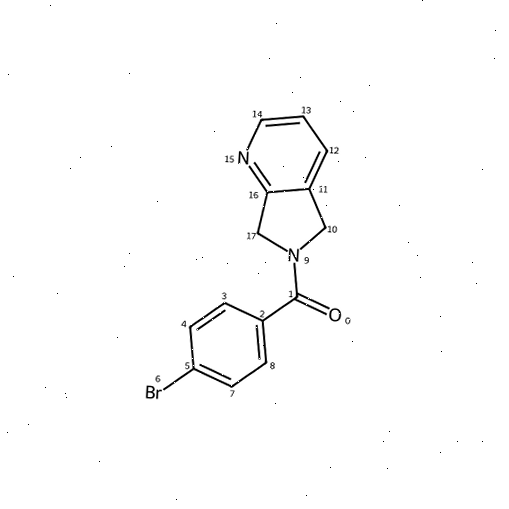 O=C(c1ccc(Br)cc1)N1Cc2cccnc2C1